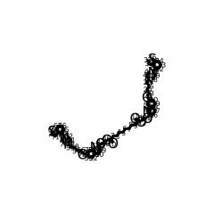 O=C(CCCCCCCCC(=O)OCOc1ccc2ccc(OCCCCN3CCN(c4cccc5sccc45)CC3)cc2n1)OCOc1ccc2ccc(OCCCCN3CCN(c4cccc5sccc45)CC3)cc2n1